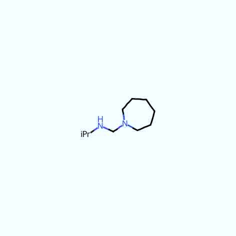 CC(C)NCN1CCCCCC1